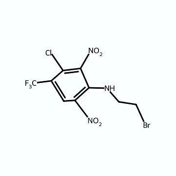 O=[N+]([O-])c1cc(C(F)(F)F)c(Cl)c([N+](=O)[O-])c1NCCBr